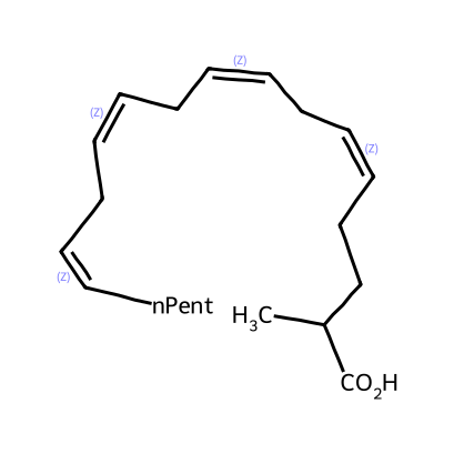 CCCCC/C=C\C/C=C\C/C=C\C/C=C\CCC(C)C(=O)O